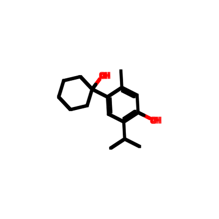 Cc1cc(O)c(C(C)C)cc1C1(O)CCCCC1